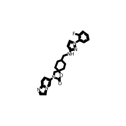 O=C1OC2(CCC(CNc3ccn(-c4ccccc4F)n3)CC2)CN1c1ccc2nccn2c1